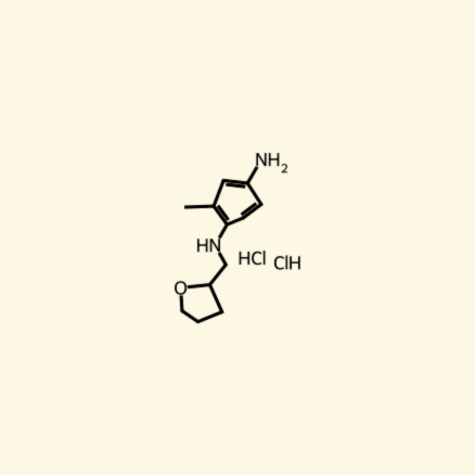 Cc1cc(N)ccc1NCC1CCCO1.Cl.Cl